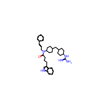 N=C(N)NC1CCC(CC2CCC(N(CC=Cc3ccccc3)C(=O)CCCc3c[nH]c4ccccc34)CC2)CC1